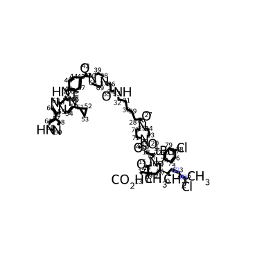 C=C(/C=C\C=C(/C)Cl)[C@H]1C[C@](C)(CC(=O)O)C(=O)N([C@H](CS(=O)(=O)N2CCN(C(=O)CCCCCNC(=O)CN3CCN(C(=O)c4ccc(Nc5nc(C6CC6)cn6c(-c7cn[nH]c7)cnc56)c(F)c4)CC3)CC2)C(C)(C)C)[C@@H]1c1ccc(Cl)cc1